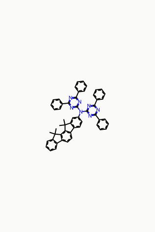 CC1(C)c2ccccc2-c2ccc3c(c21)C(C)(C)c1cc(N(c2nc(-c4ccccc4)nc(-c4ccccc4)n2)c2nc(-c4ccccc4)nc(-c4ccccc4)n2)ccc1-3